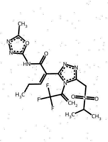 C=C(n1c(CS(=O)(=O)C(C)C)nnc1/C(=C/CC)C(=O)Nc1nnc(C)o1)C(F)(F)F